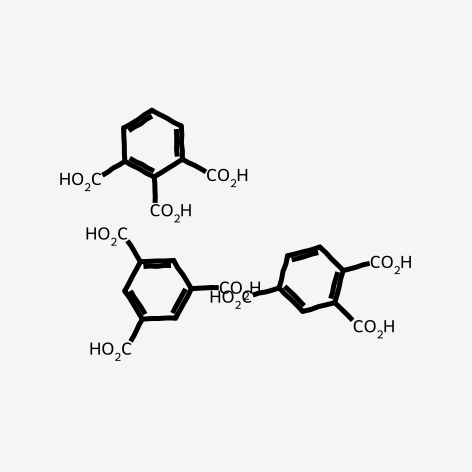 O=C(O)c1cc(C(=O)O)cc(C(=O)O)c1.O=C(O)c1ccc(C(=O)O)c(C(=O)O)c1.O=C(O)c1cccc(C(=O)O)c1C(=O)O